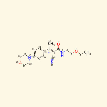 CCOCCNC(=O)/C(C#N)=C(\C)c1ccc(N2CCOCC2)cc1